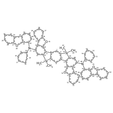 C[Si]1(C)c2cc3c(cc2-c2c1cc(N(c1ccccc1)c1cccc4c1oc1ccccc14)c1c2oc2ccccc21)[Si](C)(C)c1cc(N(c2ccccc2)c2cccc4c2oc2ccccc24)c2c(oc4ccccc42)c1-3